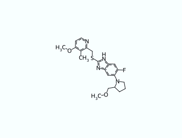 COCC1CCCN1c1cc2nc(SCc3nccc(OC)c3C)[nH]c2cc1F